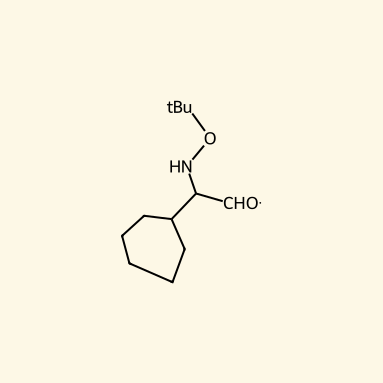 CC(C)(C)ONC([C]=O)C1CCCCC1